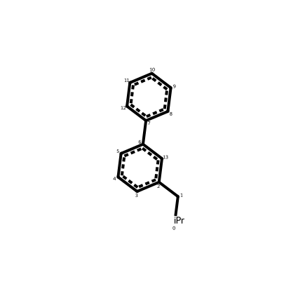 CC(C)Cc1cccc(-c2ccccc2)c1